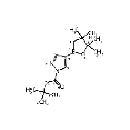 CC(C)(C)OC(=O)n1cc(B2CC(C)(C)C(C)(C)O2)cn1